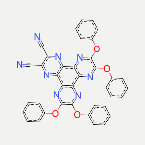 N#Cc1nc2c(nc1C#N)c1nc(Oc3ccccc3)c(Oc3ccccc3)nc1c1nc(Oc3ccccc3)c(Oc3ccccc3)nc21